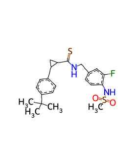 CC(C)(C)c1ccc(C2CC2C(=S)NCc2ccc(NS(C)(=O)=O)c(F)c2)cc1